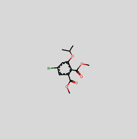 COC(=O)c1cc(Br)cc(OC(C)C)c1C(=O)OC